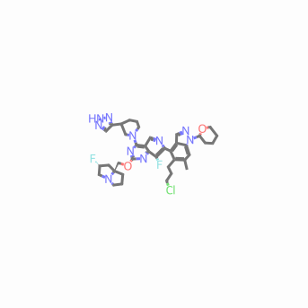 Cc1cc2c(cnn2C2CCCCO2)c(-c2ncc3c(N4CCCC(c5cn[nH]n5)C4)nc(OC[C@@]45CCCN4C[C@H](F)C5)nc3c2F)c1CCCCl